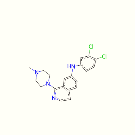 CN1CCN(c2nccc3ccc(Nc4ccc(Cl)c(Cl)c4)cc23)CC1